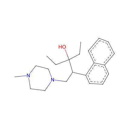 CCC(O)(CC)C(CN1CCN(C)CC1)c1cccc2ccccc12